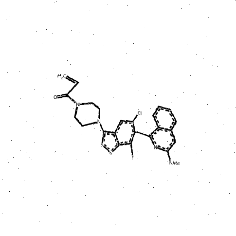 C=CC(=O)N1CCN(c2snc3c(F)c(-c4nc(NC)cc5ccccc45)c(Cl)cc23)CC1